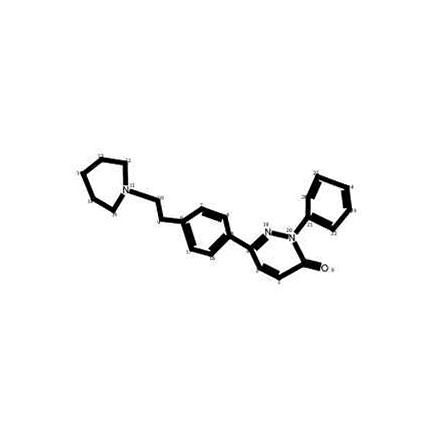 O=c1ccc(-c2ccc(CCN3CCCCC3)cc2)nn1-c1ccccc1